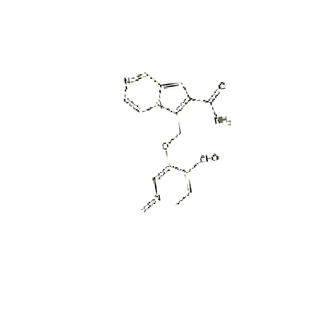 C=N/C=C(OCc1c(C(N)=O)cc2cnccn12)\C(C=O)=C/C